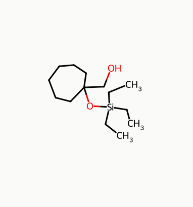 CC[Si](CC)(CC)OC1(CO)CCCCCC1